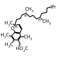 Cc1c(C)c2c(c(C)c1CC(=O)O)C=C[C@@](C)(CCC[C@H](C)CCC[C@H](C)CCCC(C)C)O2